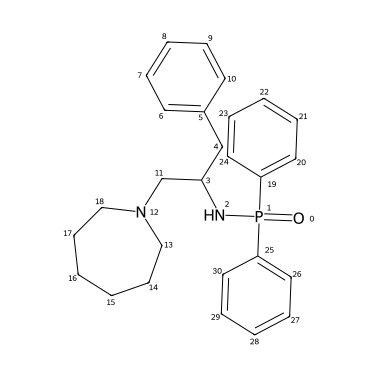 O=P(NC(Cc1ccccc1)CN1CCCCCC1)(c1ccccc1)c1ccccc1